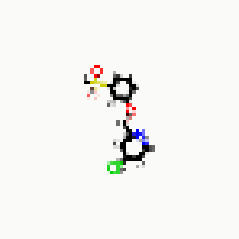 CS(=O)(=O)c1[c]ccc(OCc2cc(Cl)ccn2)c1